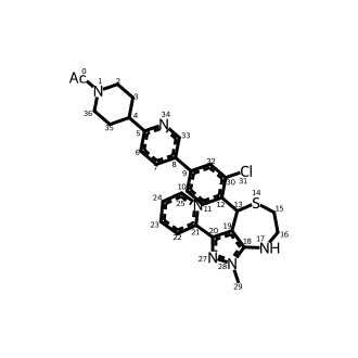 CC(=O)N1CCC(c2ccc(-c3ccc(C4SCCNc5c4c(-c4ccccn4)nn5C)c(Cl)c3)cn2)CC1